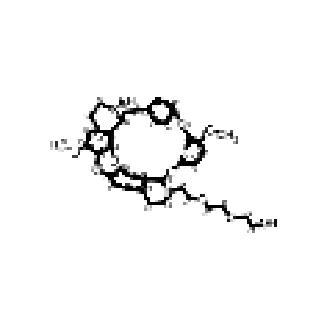 COc1ccc2cc1Oc1ccc(cc1)CC1c3c(cc(OC)c4c3Oc3cc5c(cc3O4)CCN(CCOCCOCCO)C5C2)CCN1C